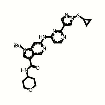 CCC(C)n1cc(C(=O)NC2CCOCC2)c2cnc(Nc3ccnc(-c4cnn(SC5CC5)c4)n3)cc21